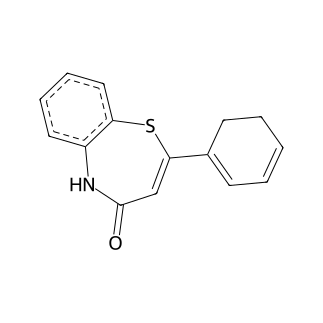 O=C1C=C(C2=CC=CCC2)Sc2ccccc2N1